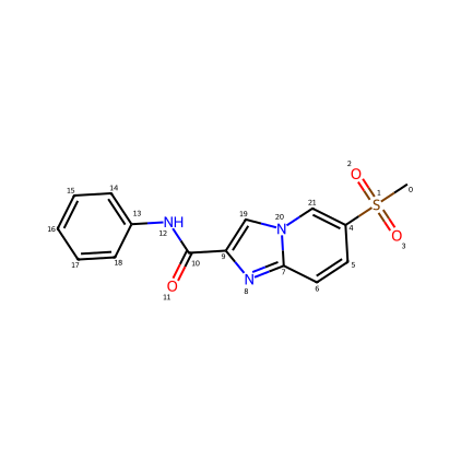 CS(=O)(=O)c1ccc2nc(C(=O)Nc3ccccc3)cn2c1